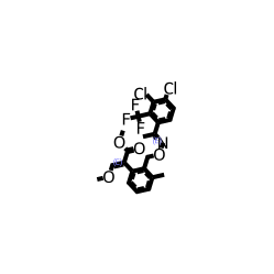 CO/C=C(/C(=O)OC)c1cccc(C)c1CO/N=C(\C)c1ccc(Cl)c(Cl)c1C(F)(F)F